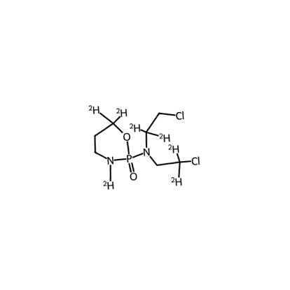 [2H]N1CCC([2H])([2H])OP1(=O)N(CC([2H])([2H])Cl)C([2H])([2H])CCl